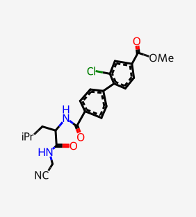 COC(=O)c1ccc(-c2ccc(C(=O)NC(CC(C)C)C(=O)NCC#N)cc2)c(Cl)c1